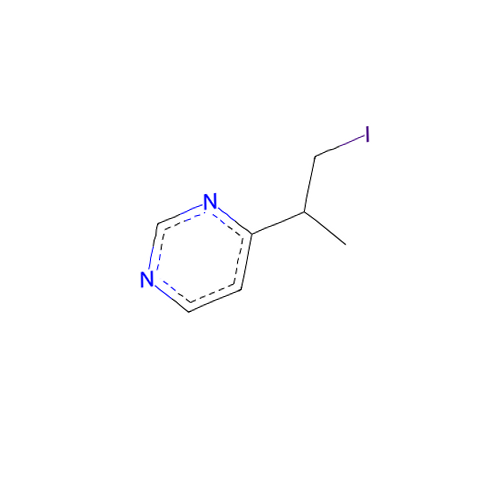 CC(CI)c1ccncn1